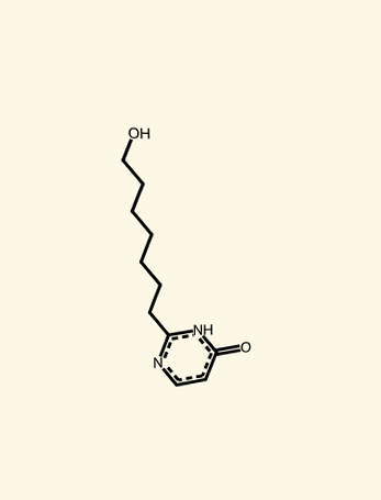 O=c1ccnc(CCCCCCCO)[nH]1